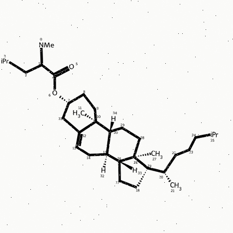 CNC(CC(C)C)C(=O)O[C@@H]1CC[C@]2(C)C(=CC[C@@H]3[C@H]4CC[C@@H]([C@@H](C)CCCC(C)C)[C@]4(C)CC[C@H]32)C1